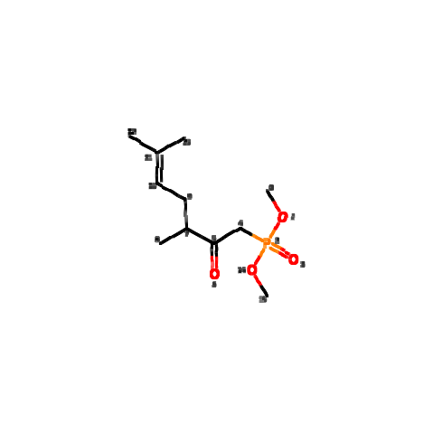 COP(=O)(CC(=O)C(C)CC=C(C)C)OC